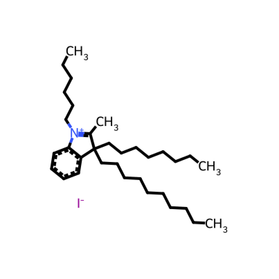 CCCCCCCCCCC1(CCCCCCCC)C(C)=[N+](CCCCCC)c2ccccc21.[I-]